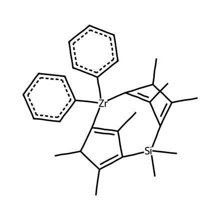 CC1=[C]2C(C)C(C)=C1[Si](C)(C)C1=C(C)C(C)[C](=C1C)[Zr]2([c]1ccccc1)[c]1ccccc1